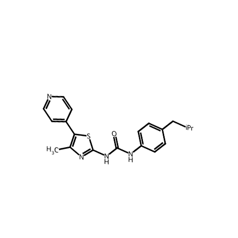 Cc1nc(NC(=O)Nc2ccc(CC(C)C)cc2)sc1-c1ccncc1